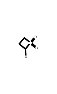 [O]C1CCS1(=O)=O